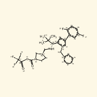 CC(C)(C)[C@@H](NC[C@H]1CCN(C(=O)OC(=O)C(F)(F)F)C1)c1cc(-c2cc(F)ccc2F)cn1Cc1ccccc1